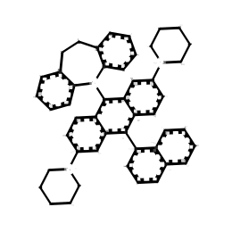 c1ccc2c(c1)CCc1ccccc1N2c1c2ccc(N3CCCCC3)cc2c(-c2cccc3ccccc23)c2ccc(N3CCCCC3)cc12